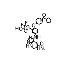 CNC(=O)C1=Cc2c(ncnc2Nc2ccc(OC3CCN(C(=O)C4CCCC4)CC3)c(Cl)c2)NCC1.O=C(O)C(F)(F)F